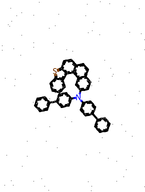 c1ccc(-c2ccc(N(c3ccc(-c4ccccc4)cc3)c3ccc4ccc5ccc6sc7ccccc7c6c5c4c3)cc2)cc1